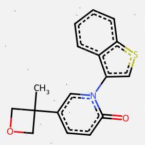 CC1(c2ccc(=O)n(-c3csc4ccccc34)c2)COC1